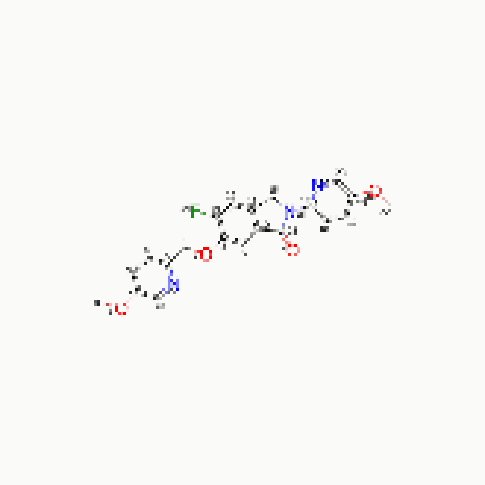 COc1ccc(COc2cc3c(cc2F)CN(c2ccc(OC)cn2)C3=O)nc1